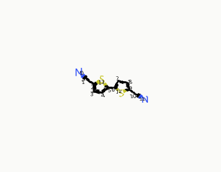 N#Cc1ccc(-c2ccc(C#N)s2)s1